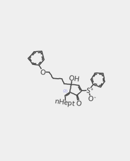 CCCCCCC/C=C1\C(=O)C([S+]([O-])c2ccccc2)=CC1(O)CCCCOc1ccccc1